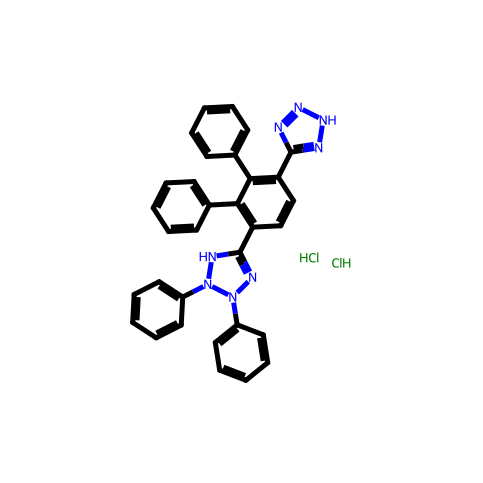 Cl.Cl.c1ccc(-c2c(C3=NN(c4ccccc4)N(c4ccccc4)N3)ccc(-c3nn[nH]n3)c2-c2ccccc2)cc1